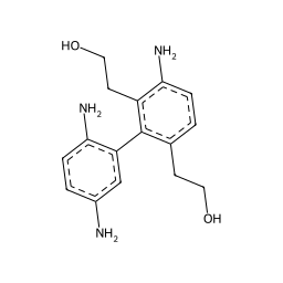 Nc1ccc(N)c(-c2c(CCO)ccc(N)c2CCO)c1